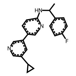 CC(Nc1ccc(-c2cncc(C3CC3)c2)cn1)c1ccc(F)cc1